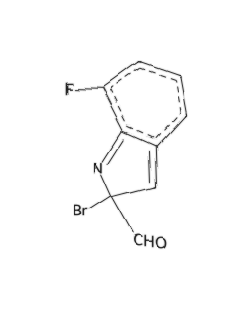 O=CC1(Br)C=c2cccc(F)c2=N1